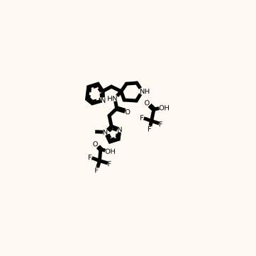 Cn1ccnc1CC(=O)NC1(Cc2ccccn2)CCNCC1.O=C(O)C(F)(F)F.O=C(O)C(F)(F)F